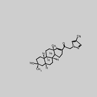 C[C@@]1(O)CC[C@H]2[C@H](CC[C@@H]3[C@@H]2CC[C@]2(C)C=C(C(=O)Cn4cc(C#N)cn4)CC[C@@H]32)C1